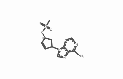 CS(=O)(=O)O[C@@H]1C=CC(n2cnc3c(N)ncnc32)C1